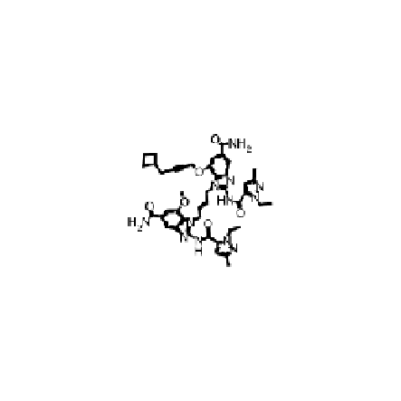 CCn1nc(C)cc1C(=O)Nc1nc2cc(C(N)=O)cc(OC)c2n1C/C=C/Cn1c(NC(=O)c2cc(C)nn2CC)nc2cc(C(N)=O)cc(OCC#CCC3CCC3)c21